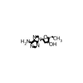 CC[C@H]1O[C@H](n2cnc3c(N)ncnc32)C[C@H]1O